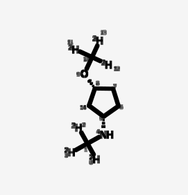 [2H]C([2H])([2H])N[C@H]1CC[C@@H](OC([2H])([2H])[2H])C1